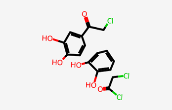 O=C(CCl)c1ccc(O)c(O)c1.O=C(Cl)CCl.Oc1ccccc1O